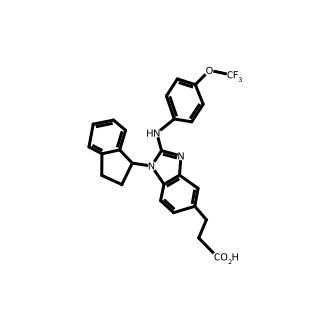 O=C(O)CCc1ccc2c(c1)nc(Nc1ccc(OC(F)(F)F)cc1)n2C1CCc2ccccc21